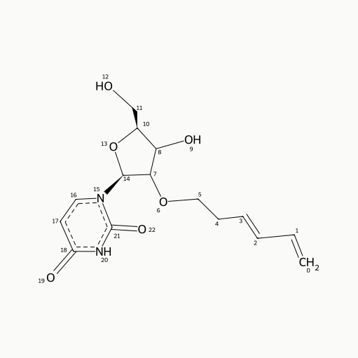 C=CC=CCCOC1C(O)[C@H](CO)O[C@@H]1n1ccc(=O)[nH]c1=O